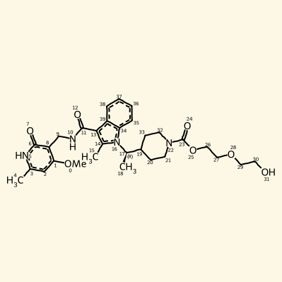 COc1cc(C)[nH]c(=O)c1CNC(=O)c1c(C)n([C@H](C)C2CCN(C(=O)OCCOCCO)CC2)c2ccccc12